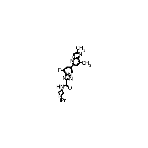 Cc1cn2nc(-c3cc(F)c4nc(C(=O)NC5CN(C(C)C)C5)nn4c3)cc(C)c2n1